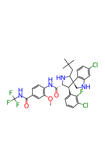 COc1cc(C(=O)NC(F)(F)F)ccc1NC(=O)[C@@H]1NC(CC(C)(C)C)[C@@]2(CNc3cc(Cl)ccc32)[C@H]1c1cccc(Cl)c1F